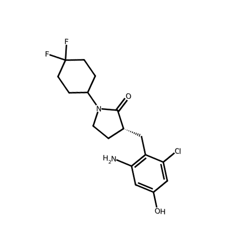 Nc1cc(O)cc(Cl)c1C[C@@H]1CCN(C2CCC(F)(F)CC2)C1=O